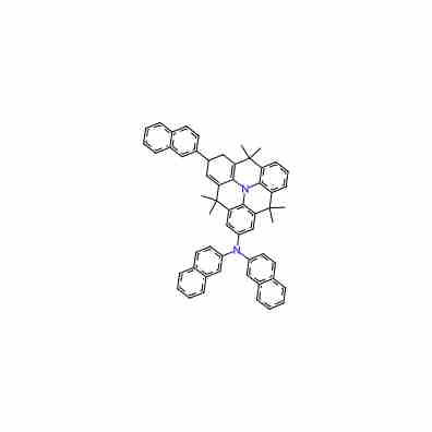 CC1(C)C2=CC(c3ccc4ccccc4c3)CC3=C2N2c4c1cc(N(c1ccc5ccccc5c1)c1ccc5ccccc5c1)cc4C(C)(C)c1cccc(c12)C3(C)C